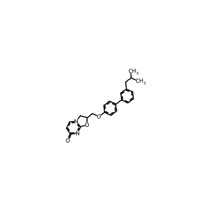 CC(C)Cc1cccc(-c2ccc(OCC3Cn4ccc(=O)nc4O3)cc2)c1